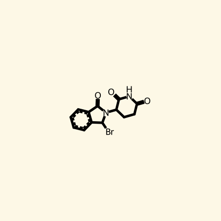 O=C1CCC(N2C(=O)c3ccccc3C2Br)C(=O)N1